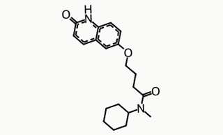 CN(C(=O)CCCOc1ccc2[nH]c(=O)ccc2c1)C1CCCCC1